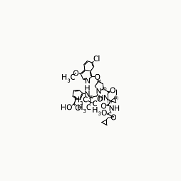 COc1cnc(O[C@@H]2C[C@@H](C(=O)N[C@]3(C(=O)NS(=O)(=O)C4CC4)C[C@H]3I)N(C(=O)[C@H](Nc3cccc(C(=O)O)c3)C(C)(C)C)C2)c2cc(Cl)ccc12